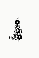 CC(CO)n1c(=O)c2c(-c3noc(-c4ccc(F)cc4)n3)ncn2c2ccc(F)c(C#N)c21